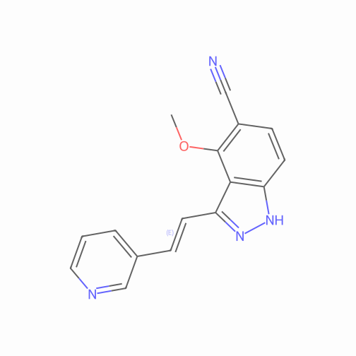 COc1c(C#N)ccc2[nH]nc(/C=C/c3cccnc3)c12